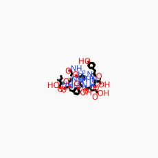 CC[C@H](C)[C@H](NC(=O)[C@H](Cc1ccc(O)cc1)NC(=O)[C@H](CCC(N)=O)NC(=O)[C@@H]1CCCN1C(=O)[C@@H](C)NC(=O)[C@H](CCC(=O)O)NC(=O)[C@H](NC(=O)[C@H](N)Cc1ccc(O)cc1)[C@@H](C)O)C(=O)O